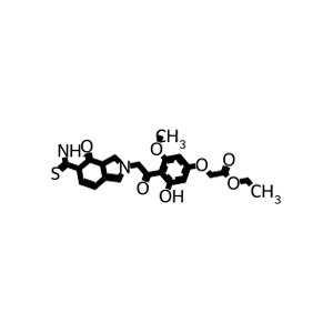 CCOC(=O)COc1cc(O)c(C(=O)CN2C=C3C=CC(C(N)=S)C(=O)C3C2)c(OC)c1